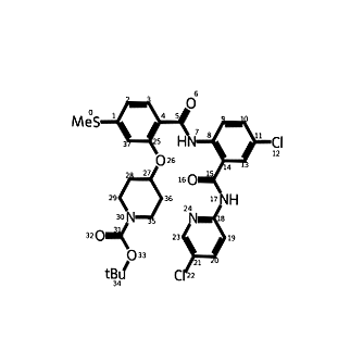 CSc1ccc(C(=O)Nc2ccc(Cl)cc2C(=O)Nc2ccc(Cl)cn2)c(OC2CCN(C(=O)OC(C)(C)C)CC2)c1